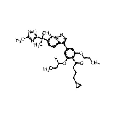 C=CC(F)Oc1cc(-c2cnn3cc(C(C)(C)c4nc(C)no4)ccc23)cc(OCCC)c1C(=O)CCCC1CC1